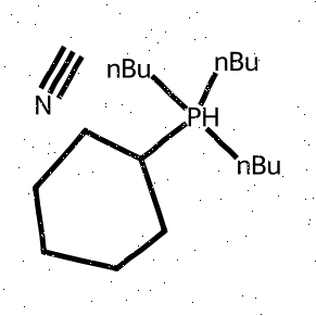 C#N.CCCC[PH](CCCC)(CCCC)C1CCCCC1